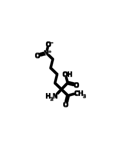 CC(=O)C(N)(CCCC[N+](=O)[O-])C(=O)O